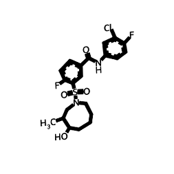 CC1CN(S(=O)(=O)c2cc(C(=O)Nc3ccc(F)c(Cl)c3)ccc2F)CCCCC1O